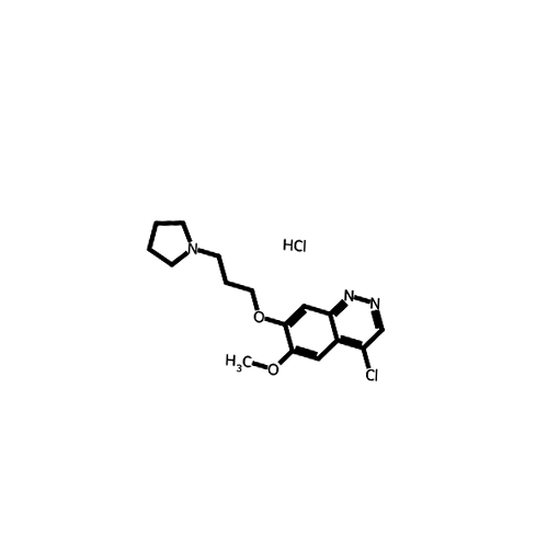 COc1cc2c(Cl)cnnc2cc1OCCCN1CCCC1.Cl